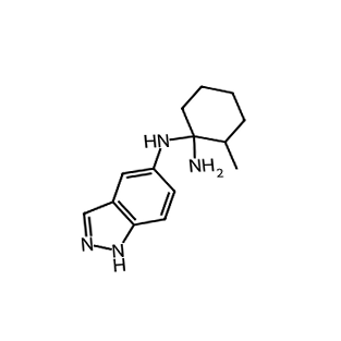 CC1CCCCC1(N)Nc1ccc2[nH]ncc2c1